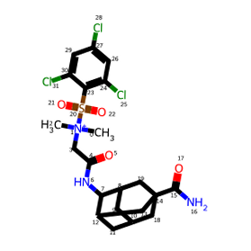 C[N+](C)(CC(=O)NC1C2CC3CC1CC(C(N)=O)(C3)C2)S(=O)(=O)c1c(Cl)cc(Cl)cc1Cl